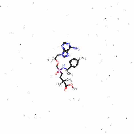 CCCOC(=O)C(C)(C)CCP(=O)(CO[C@H](C)Cn1cnc2c(N)ncnc21)N[C@H](C)c1ccc(OC)cc1